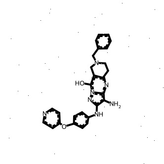 Nc1c(Nc2ccc(Oc3ccncc3)cc2)nn2c(O)c3c(nc12)CCN(Cc1ccccc1)C3